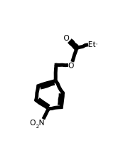 C[CH]C(=O)OCc1ccc([N+](=O)[O-])cc1